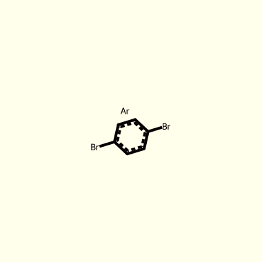 Brc1ccc(Br)cc1.[Ar]